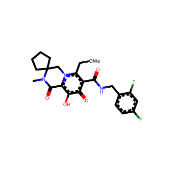 COCc1c(C(=O)NCc2ccc(F)cc2F)c(=O)c(O)c2n1CC1(CCCC1)N(C)C2=O